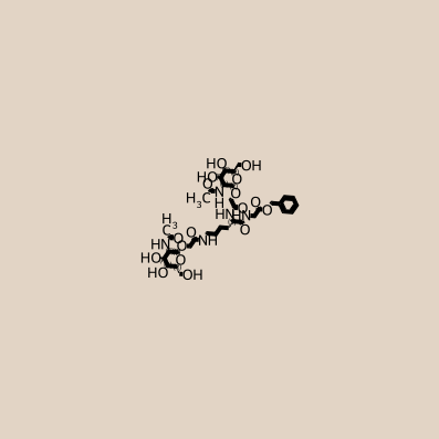 CC(=O)N[C@@H]1[C@H](OCC(=O)NCCCC[C@H](NC(=O)CO[C@@H]2O[C@H](CO)[C@@H](O)[C@H](O)[C@@H]2NC(C)=O)C(=O)NCC(=O)OCc2ccccc2)O[C@H](CO)[C@@H](O)[C@@H]1O